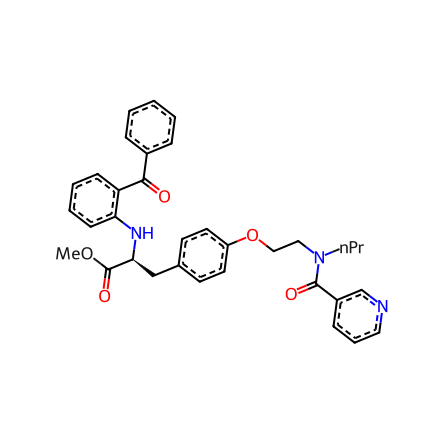 CCCN(CCOc1ccc(C[C@H](Nc2ccccc2C(=O)c2ccccc2)C(=O)OC)cc1)C(=O)c1cccnc1